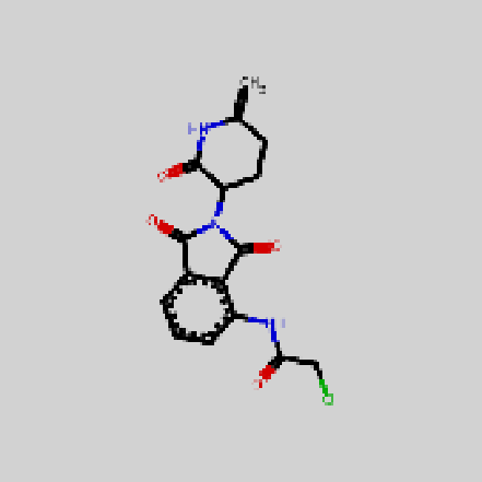 C=C1CCC(N2C(=O)c3cccc(NC(=O)CCl)c3C2=O)C(=O)N1